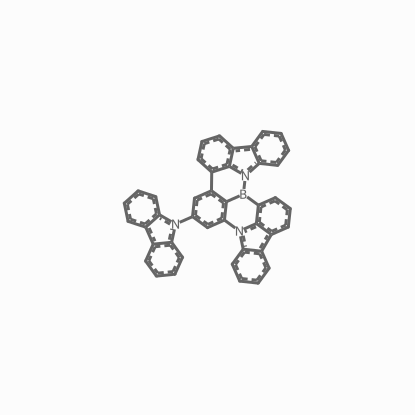 c1ccc2c(c1)c1cccc3c1n2B1c2c-3cc(-n3c4ccccc4c4ccccc43)cc2-n2c3ccccc3c3cccc1c32